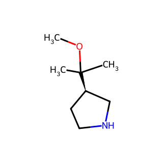 COC(C)(C)[C@@H]1CCNC1